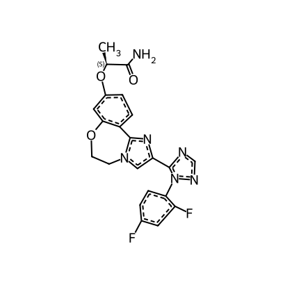 C[C@H](Oc1ccc2c(c1)OCCn1cc(-c3ncnn3-c3ccc(F)cc3F)nc1-2)C(N)=O